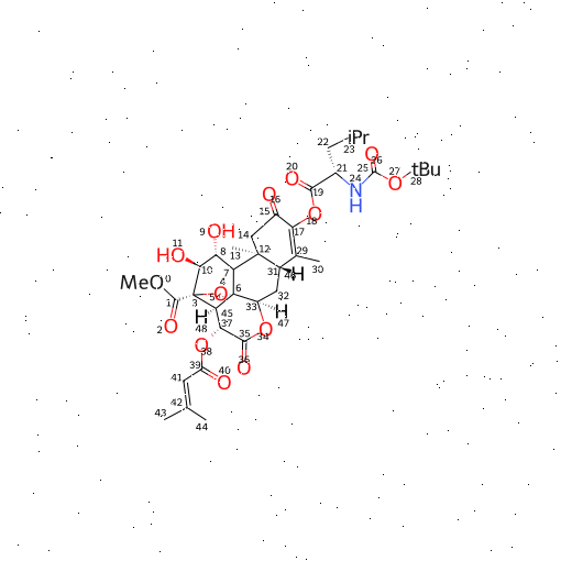 COC(=O)[C@@]12OC[C@]34C([C@@H](O)[C@@H]1O)[C@@]1(C)CC(=O)C(OC(=O)[C@H](CC(C)C)NC(=O)OC(C)(C)C)=C(C)[C@@H]1C[C@H]3OC(=O)[C@H](OC(=O)C=C(C)C)[C@@H]24